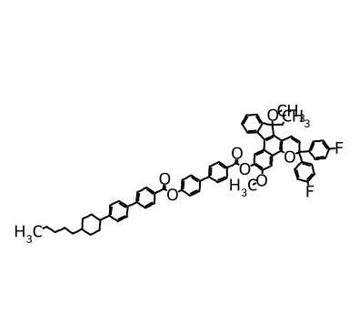 CCCCCC1CCC(c2ccc(-c3ccc(C(=O)Oc4ccc(-c5ccc(C(=O)Oc6cc7c8c(c9c(c7cc6OC)OC(c6ccc(F)cc6)(c6ccc(F)cc6)C=C9)C(CC)(OC)c6ccccc6-8)cc5)cc4)cc3)cc2)CC1